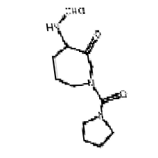 O=CNC1CCCN(C(=O)N2CCCC2)CC1=O